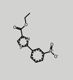 CCOC(=O)c1csc(-c2cccc([N+](=O)[O-])c2)n1